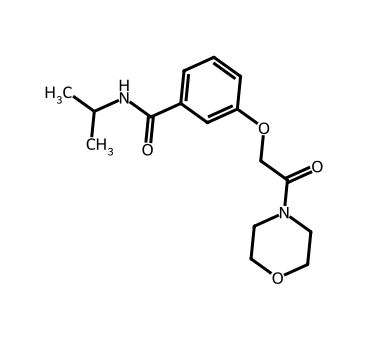 CC(C)NC(=O)c1cccc(OCC(=O)N2CCOCC2)c1